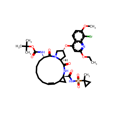 CCOc1cc(O[C@@H]2C[C@H]3C(=O)N[C@]4(C(=O)NS(=O)(=O)C5(C)CC5)CC4/C=C\CCCCC[C@H](NC(=O)OC(C)(C)C)C(=O)N3C2)c2ccc(OC)c(Br)c2n1